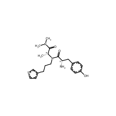 C[C@H](C(=O)N(C)C)N(CCCc1ccsc1)C(=O)[C@@H](N)Cc1ccc(O)cc1